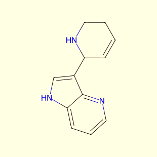 C1=CC(c2c[nH]c3cccnc23)NCC1